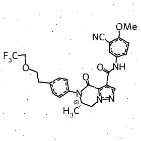 COc1ccc(NC(=O)c2cnn3c2C(=O)N(c2ccc(CCOCC(F)(F)F)cc2)[C@@H](C)C3)cc1C#N